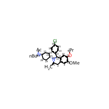 C=C1Cc2cc(OC)c(OC(C)C)cc2C(c2ccc(Cl)cc2)N1[C@H]1CC[C@H](N(CCCC)C(C)=O)CC1